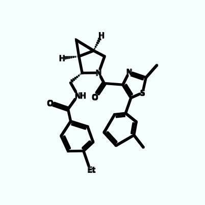 CCc1ccc(C(=O)NC[C@@H]2[C@H]3C[C@H]3CN2C(=O)c2nc(C)sc2-c2cccc(C)c2)cc1